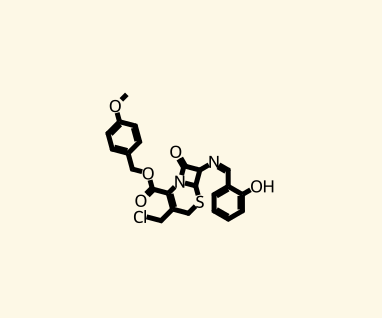 COc1ccc(COC(=O)C2=C(CCl)CSC3C(/N=C\c4ccccc4O)C(=O)N23)cc1